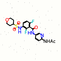 CC(=O)Nc1ccc(NC(=O)c2c(F)ccc(NS(=O)(=O)C3CCOCC3)c2F)cn1